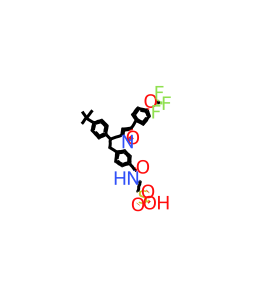 CC(C)(C)c1ccc(C(Cc2ccc(C(=O)NCCS(=O)(=O)O)cc2)c2cc(-c3ccc(OC(F)(F)F)cc3)on2)cc1